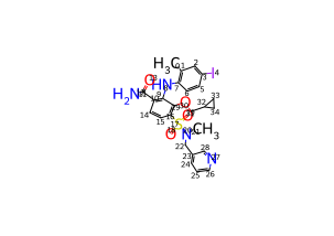 Cc1cc(I)ccc1Nc1c(C(N)=O)ccc(S(=O)(=O)N(C)Cc2cccnc2)c1OCC1CC1